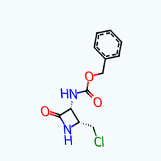 O=C(N[C@H]1C(=O)N[C@H]1CCl)OCc1ccccc1